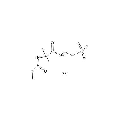 C=CC(=O)NC(C)(C)C(=O)NCCS(=O)(=O)[O-].[Na+]